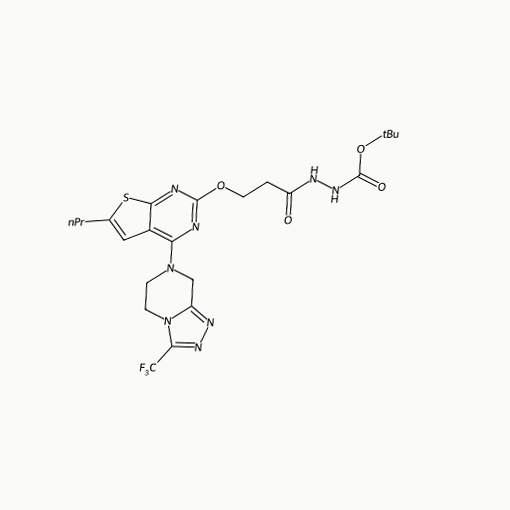 CCCc1cc2c(N3CCn4c(nnc4C(F)(F)F)C3)nc(OCCC(=O)NNC(=O)OC(C)(C)C)nc2s1